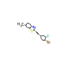 Cc1ccc2nc(C#Cc3ccc(Br)c(F)c3)sc2c1